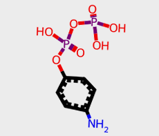 Nc1ccc(OP(=O)(O)OP(=O)(O)O)cc1